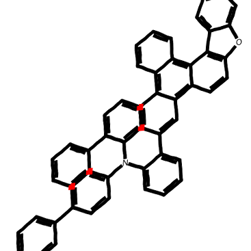 c1ccc(-c2ccc(N(c3ccccc3-c3ccccc3)c3ccccc3-c3ccc4c5ccccc5c5c(ccc6oc7ccccc7c65)c4c3)cc2)cc1